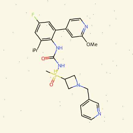 COc1cc(-c2cc(F)cc(C(C)C)c2NC(=O)N[SH](C)(=O)C2CN(Cc3cccnc3)C2)ccn1